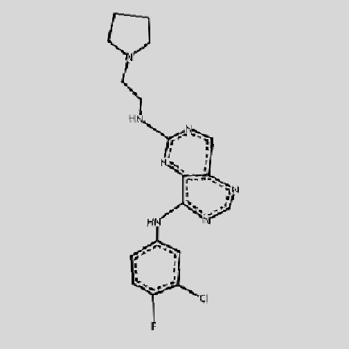 Fc1ccc(Nc2ncnc3cnc(NCCN4CCCC4)nc23)cc1Cl